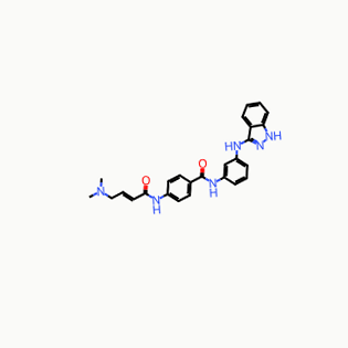 CN(C)C/C=C/C(=O)Nc1ccc(C(=O)Nc2cccc(Nc3n[nH]c4ccccc34)c2)cc1